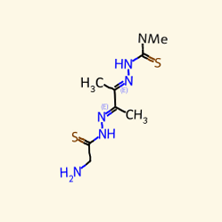 CNC(=S)N/N=C(C)/C(C)=N/NC(=S)CN